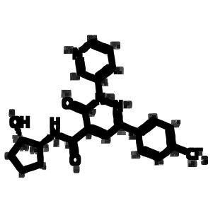 O=C(N[C@H]1CCC[C@@H]1O)c1cc(-c2ccc(C(F)(F)F)cc2)nn(-c2cccnc2)c1=O